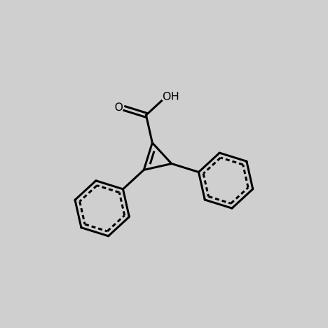 O=C(O)C1=C(c2ccccc2)C1c1ccccc1